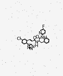 O=C(C=Cc1cc(Cl)ccc1-n1cnnn1)NC(Cc1ccccc1)C(=O)Nc1ccc(F)cn1